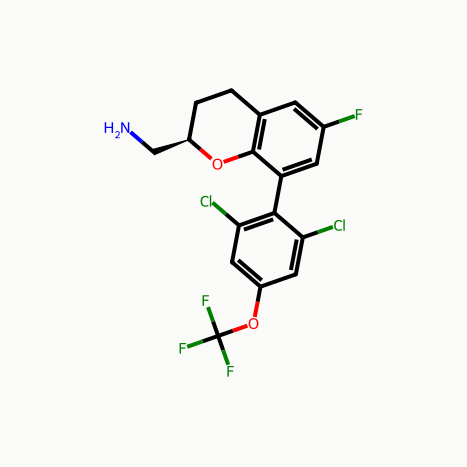 NC[C@H]1CCc2cc(F)cc(-c3c(Cl)cc(OC(F)(F)F)cc3Cl)c2O1